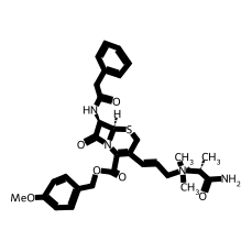 COc1ccc(COC(=O)C2=C(/C=C/C[N+](C)(C)[C@H](C)C(N)=O)CS[C@@H]3[C@H](NC(=O)Cc4ccccc4)C(=O)N23)cc1